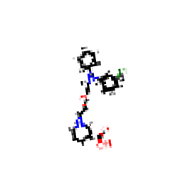 O=C(O)[C@@H]1CCCN(CCOCCN(c2ccccc2)c2cccc(Cl)c2)C1